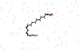 CCCCC/C=C\C/C=C\CCCCCCC[CH2][Mg][Br]